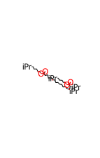 CC(C)CCCCCOC(=O)CCCCCCCCCCCCCC(C(C)C)C(C(=O)OCCCCCC(C)C)C(C)C